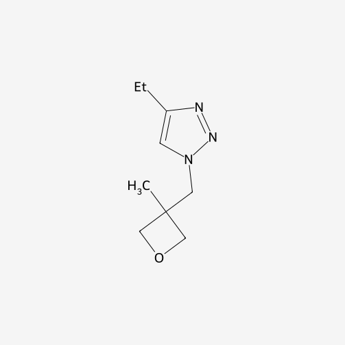 CCc1cn(CC2(C)COC2)nn1